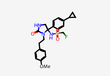 COc1ccc(CCN2C(=O)NCC2(NS(=O)(=O)CF)c2ccc(C3CC3)cc2)cc1